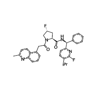 Cc1ccc2c(CC(=O)N3C[C@H](F)C[C@H]3C(=O)N[C@@H](c3ccccc3)c3ccc(C(C)C)c(F)n3)cccc2n1